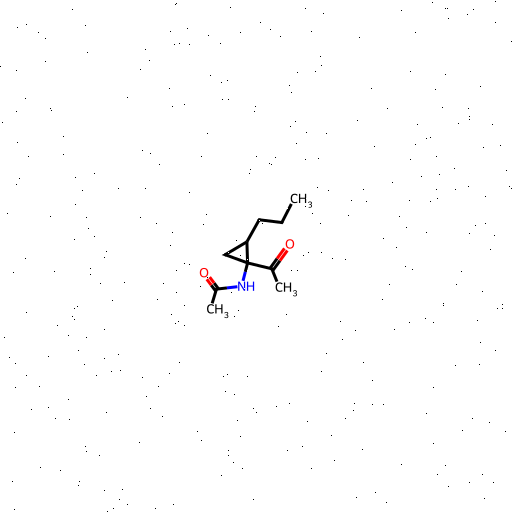 CCCC1CC1(NC(C)=O)C(C)=O